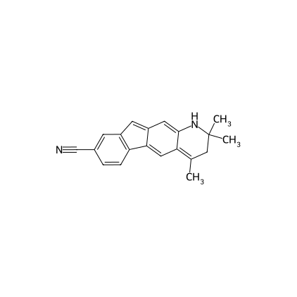 CC1=c2cc3c(cc2NC(C)(C)C1)=Cc1cc(C#N)ccc1-3